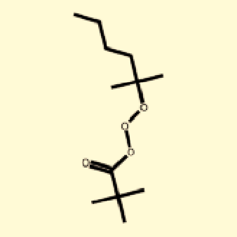 CCCCC(C)(C)OOOC(=O)C(C)(C)C